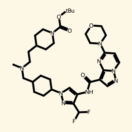 CN(CCC1CCN(C(=O)OC(C)(C)C)CC1)CC1CCC(n2cc(NC(=O)c3cnn4ccc(N5CCOCC5)nc34)c(C(F)F)n2)CC1